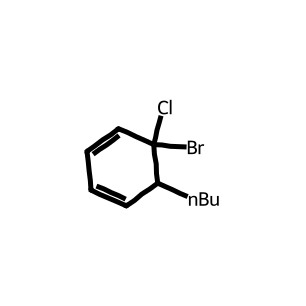 CCCCC1C=CC=CC1(Cl)Br